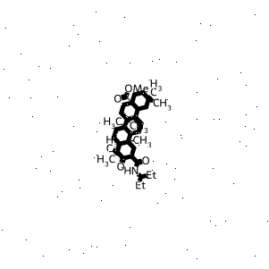 CCC(CC)NC(=O)C1C[C@@]2(C)C(CC[C@]3(C)C2CC=C2C4CC(C)(C)CC[C@]4(C(=O)OC)CC[C@]23C)C(C)(C)C1=O